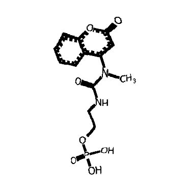 CN(C(=O)NCCOP(=O)(O)O)c1cc(=O)oc2ccccc12